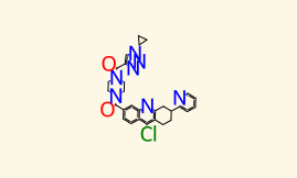 O=C(c1ccc2c(Cl)c3c(nc2c1)CC(c1ccccn1)CC3)N1CCN(C(=O)c2cn(C3CC3)nn2)CC1